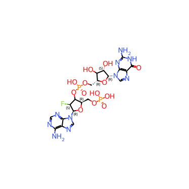 Nc1nc2c(ncn2[C@@H]2O[C@H](COP(=O)(O)OC3[C@@H](COP(=O)(O)O)O[C@@H](n4cnc5c(N)ncnc54)[C@H]3F)C(O)[C@@H]2O)c(=O)[nH]1